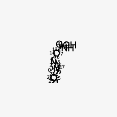 CC1CN(Cc2ccc(C(=O)NO)cc2)C[C@H](C)N1Cc1ccccc1